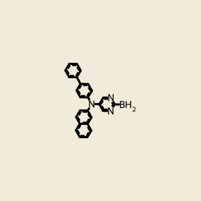 Bc1ncc(N(c2ccc(-c3ccccc3)cc2)c2ccc3ccccc3c2)cn1